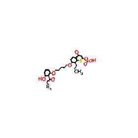 CCCc1c(OCCCCCOc2cccc(O)c2C(C)=O)ccc2c(=O)cc(OC(=O)O)sc12